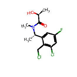 C[C@H](O)C(=O)N(C)[C@@H](C)c1cc(F)cc(Cl)c1CCl